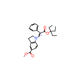 CCC(CC)(CC)OC(=O)/C(=C/N1CCc2cc(C(=O)OC)ccc21)c1ccccc1